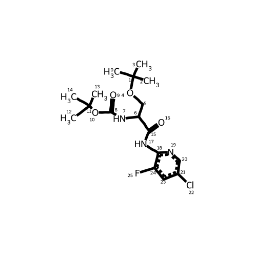 CC(C)(C)OCC(NC(=O)OC(C)(C)C)C(=O)Nc1ncc(Cl)cc1F